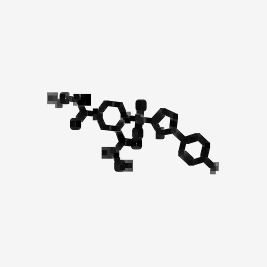 CNC(=O)N1CCN(S(=O)(=O)c2ccc(-c3ccc(F)cc3)s2)[C@@H](C(=O)NO)C1